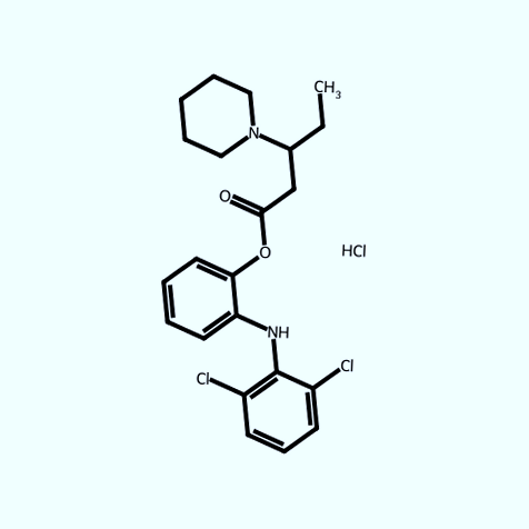 CCC(CC(=O)Oc1ccccc1Nc1c(Cl)cccc1Cl)N1CCCCC1.Cl